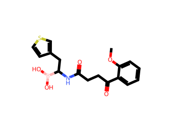 COc1ccccc1C(=O)CCC(=O)NC(Cc1ccsc1)B(O)O